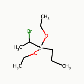 CCC[Si](OCC)(OCC)C(C)Br